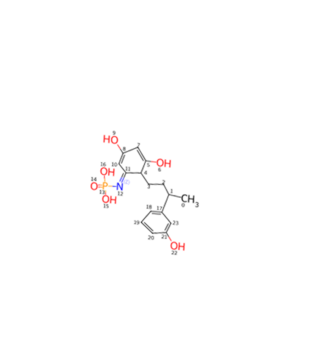 CC(CCC1C(O)=CC(O)=C/C1=N\P(=O)(O)O)c1cccc(O)c1